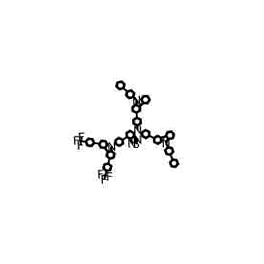 FC(F)(F)c1ccc(-c2ccc3c(c2)c2cc(-c4ccc(C(F)(F)F)cc4)ccc2n3-c2ccc(-c3ccc(N(c4ccc(-c5ccc6c(c5)c5ccccc5n6-c5ccc(-c6ccccc6)cc5)cc4)c4ccc(-c5ccc6c(c5)c5ccccc5n6-c5ccc(-c6ccccc6)cc5)cc4)c4nsnc34)cc2)cc1